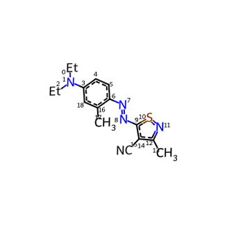 CCN(CC)c1ccc(/N=N/c2snc(C)c2C#N)c(C)c1